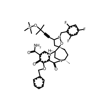 C[C@H]1CC[C@]2(CC(C#CC(C)(C)O[Si](C)(C)C)N(Cc3c(F)cc(F)cc3F)O2)[C@H]2CN1C(=O)c1c(OCc3ccccc3)c(=O)c(C(N)=O)cn12